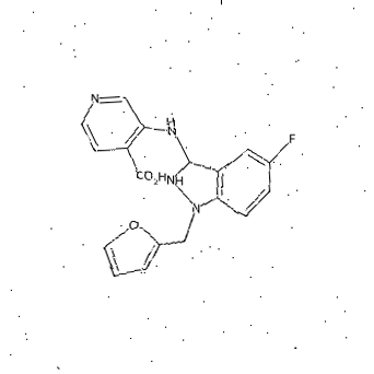 O=C(O)c1ccncc1NC1NN(Cc2ccco2)c2ccc(F)cc21